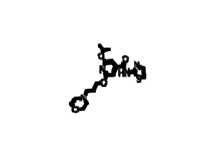 CC(C)Oc1cc(C(=O)Nc2nccs2)cc(OCCCN2CCOCC2)n1